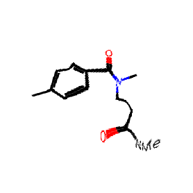 CNC(=O)CCN(C)C(=O)c1ccc(C)cc1